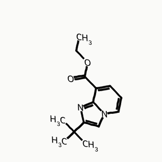 CCOC(=O)c1cccn2cc(C(C)(C)C)nc12